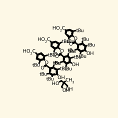 CC(C)(C)c1cc(C(=O)O)cc(C(C)(C)C)c1OC(=O)c1c(C(C)(C)C)c(C(C)(C)C)c(O)c(C(C)(C)C)c1C(C)(C)C.CC(C)(C)c1cc(C(=O)O)cc(C(C)(C)C)c1OC(=O)c1c(C(C)(C)C)c(C(C)(C)C)c(O)c(C(C)(C)C)c1C(C)(C)C.CC(C)(C)c1cc(C(=O)O)cc(C(C)(C)C)c1OC(=O)c1c(C(C)(C)C)c(C(C)(C)C)c(O)c(C(C)(C)C)c1C(C)(C)C.CC(CO)(CO)CO